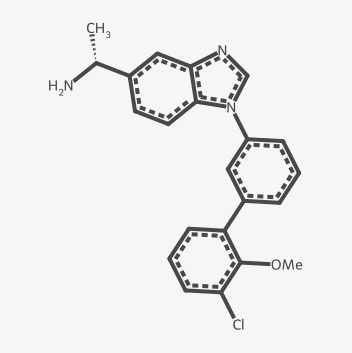 COc1c(Cl)cccc1-c1cccc(-n2cnc3cc([C@@H](C)N)ccc32)c1